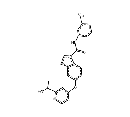 CC(O)c1cc(Oc2ccc3c(ccn3C(=O)Nc3cccc(C(F)(F)F)c3)c2)ncn1